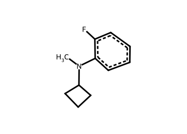 CN(c1ccccc1F)C1CCC1